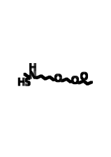 CCC(=O)COCCCOCCCCCNC(C)S